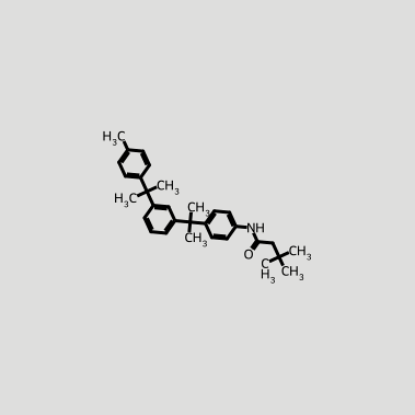 Cc1ccc(C(C)(C)c2cccc(C(C)(C)c3ccc(NC(=O)CC(C)(C)C)cc3)c2)cc1